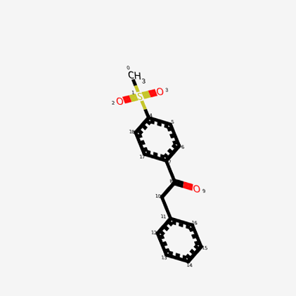 CS(=O)(=O)c1ccc(C(=O)Cc2ccccc2)cc1